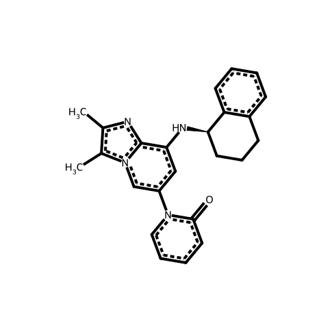 Cc1nc2c(N[C@@H]3CCCc4ccccc43)cc(-n3ccccc3=O)cn2c1C